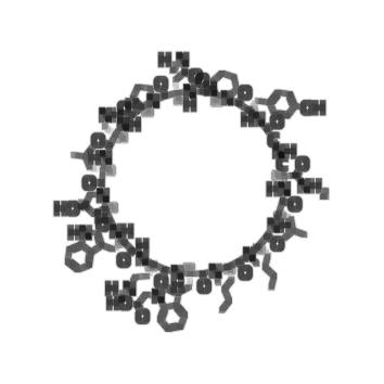 CCCC[C@H]1C(=O)N(C)[C@@H](CCCC)C(=O)N[C@@H](CC(C)C)C(=O)N[C@H](C(N)=O)CNCC(=O)N[C@@H](Cc2ccc(O)cc2)C(=O)N2CCCC[C@H]2C(=O)N[C@@H](CC(N)=O)C(=O)N2CCC[C@H]2C(=O)N[C@@H](CN)C(=O)N[C@@H](CC(C)C)C(=O)N2C[C@H](O)C[C@H]2C(=O)N[C@@H](Cc2c[nH]c3ccccc23)C(=O)N[C@@H](CCN)C(=O)N[C@@H](Cc2cn(CC(=O)O)c3ccccc23)C(=O)N1C